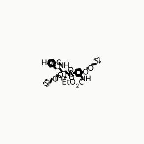 CCOC(=O)Nc1cc(S(=O)(=O)N(CC(C)C)C[C@@H](OCOCC[Si](C)(C)C)[C@H](Cc2ccccc2)NC(=O)O)ccc1OCOCC[Si](C)(C)C